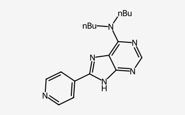 CCCCN(CCCC)c1ncnc2[nH]c(-c3ccncc3)nc12